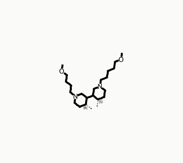 COCCCCCN1CC[C@H](C)C(C2CN(CCCCOC)CC[C@H]2C)C1